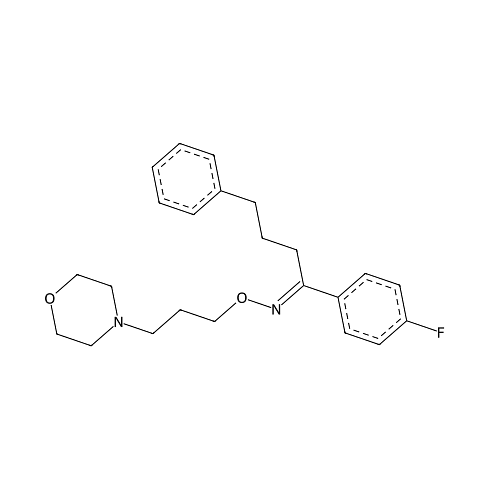 Fc1ccc(C(CCCc2ccccc2)=NOCCCN2CCOCC2)cc1